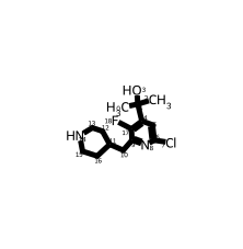 CC(C)(O)c1cc(Cl)nc(CC2CCNCC2)c1F